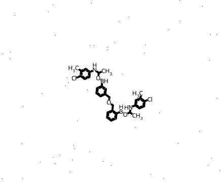 Cc1cc(NC(C)OBc2cccc(COCc3ccccc3BOC(C)Nc3ccc(Cl)c(C)c3)c2)ccc1Cl